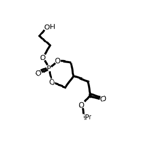 CC(C)OC(=O)CC1COP(=O)(OCCO)OC1